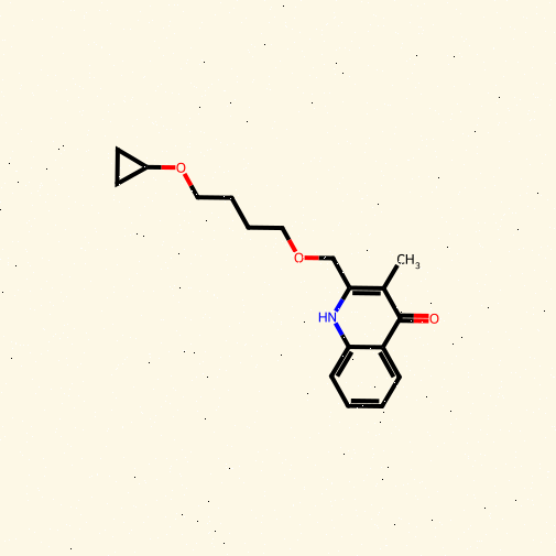 Cc1c(COCCCCOC2CC2)[nH]c2ccccc2c1=O